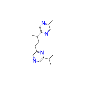 Cc1cnc(C(C)CCc2cncc(C(C)C)n2)cn1